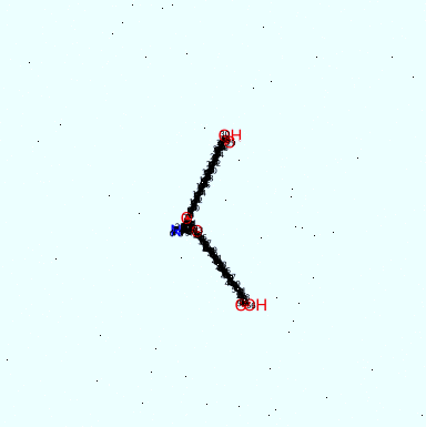 CN(C)Cc1cc(OCCCCCCCCC=CCC=CCCCCCCCC(=O)O)cc(OCCCCCCCCC=CCC=CCCCCCCCC(=O)O)c1